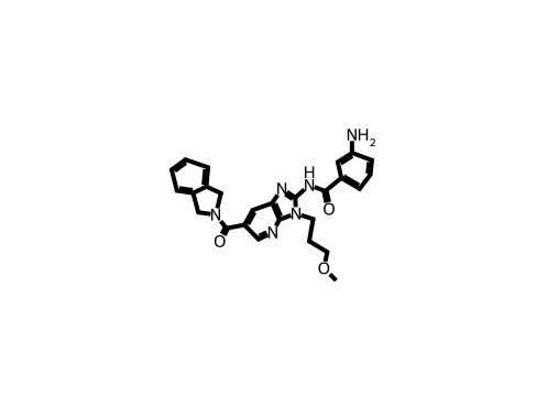 COCCCn1c(NC(=O)c2cccc(N)c2)nc2cc(C(=O)N3Cc4ccccc4C3)cnc21